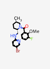 COc1c(F)cccc1C(=O)N1C[C@@H](C)CC[C@H]1CNc1ccc(Br)cn1